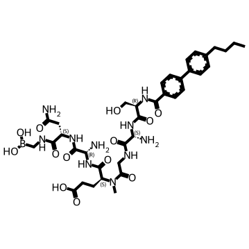 CCCCc1ccc(-c2ccc(C(=O)N[C@H](CO)C(=O)N[C@H](N)C(=O)NCC(=O)N(C)[C@@H](CCC(=O)O)C(=O)N[C@@H](N)C(=O)N[C@@H](CC(N)=O)C(=O)NCB(O)O)cc2)cc1